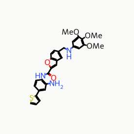 COc1cc(NCc2ccc3oc(C(=O)Nc4ccc(-c5cccs5)cc4N)cc3c2)cc(OC)c1OC